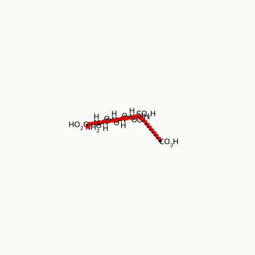 N[C@@H](CCCCNC(=O)CCCNC(=O)CCCNC(=O)CCCNC(=O)CCCNC(=O)CC[C@H](NC(=O)CCCCCCCCCCCCCCCCC(=O)O)C(=O)O)C(=O)O